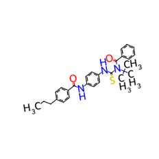 CCCc1ccc(C(=O)Nc2ccc(NC(=S)N(C(=O)c3ccccc3)C(C)(C)C)cc2)cc1